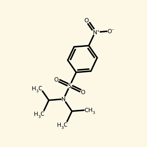 CC(C)N(C(C)C)S(=O)(=O)c1ccc([N+](=O)[O-])cc1